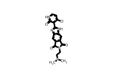 CN(C)CCN1C(=O)c2cc3nc(-c4c(Cl)cc[nH]c4=O)[nH]c3cc2C1=O